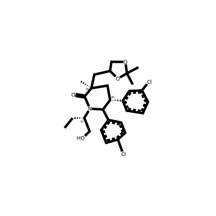 CC[C@@H](CO)N1C(=O)[C@@](C)(CC2COC(C)(C)O2)C[C@H](c2cccc(Cl)c2)C1c1ccc(Cl)cc1